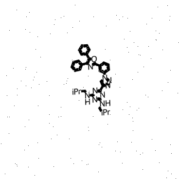 CC(C)CNc1nc(NCC(C)C)nc(-c2cn(-c3cccc(-c4nc(-c5ccccc5)c(-c5ccccc5)o4)c3)nn2)n1